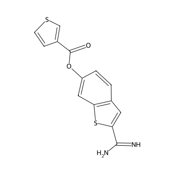 N=C(N)c1cc2ccc(OC(=O)c3ccsc3)cc2s1